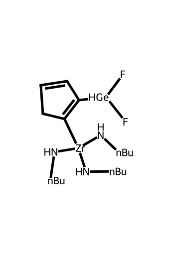 CCCC[NH][Zr]([NH]CCCC)([NH]CCCC)[C]1=[C]([GeH]([F])[F])C=CC1